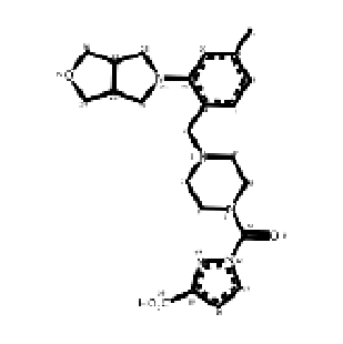 Cc1ccc(CN2CCN(C(=O)n3ccc(C(=O)O)n3)CC2)c(N2CC3COCC3C2)c1